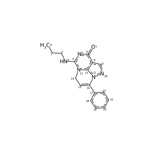 CCCNc1nc(=O)c2cnn3c2n1CC=C3c1ccccc1